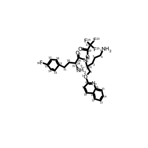 C[C@](CCCN)(COc1ccc2ccccc2n1)N(OC(=O)C(F)(F)F)C(=O)[C@@H](N)CCc1ccc(F)cc1